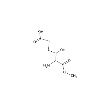 COC(=O)C(N)C(O)CCC(=O)O